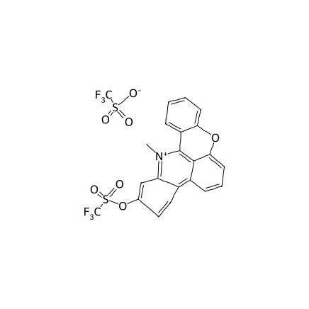 C[n+]1c2c3c(cccc3c3ccc(OS(=O)(=O)C(F)(F)F)cc31)Oc1ccccc1-2.O=S(=O)([O-])C(F)(F)F